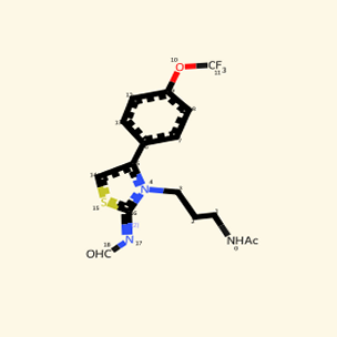 CC(=O)NCCCn1c(-c2ccc(OC(F)(F)F)cc2)cs/c1=N\C=O